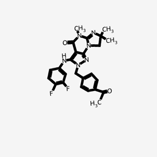 CC(=O)c1ccc(Cn2nc3c(c2Nc2ccc(F)c(F)c2)C(=O)N(C)C2=NC(C)(C)CN23)cc1